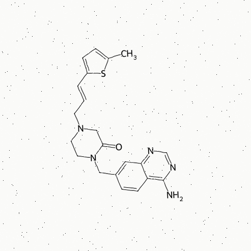 Cc1ccc(C=CCN2CCN(Cc3ccc4c(N)ncnc4c3)C(=O)C2)s1